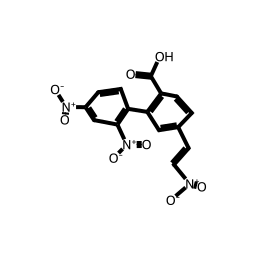 O=C(O)c1ccc(C=C[N+](=O)[O-])cc1-c1ccc([N+](=O)[O-])cc1[N+](=O)[O-]